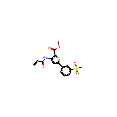 C=CC(=O)Nc1cc(-c2cccc(S(C)(=O)=O)c2)sc1C(=O)OC